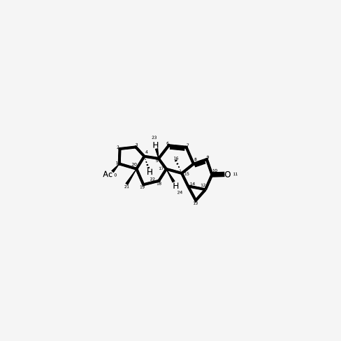 CC(=O)[C@H]1CC[C@H]2[C@@H]3C=CC4=CC(=O)C5CC5[C@@]4(C)[C@@H]3CC[C@]12C